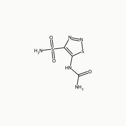 NC(=O)Nc1snnc1S(N)(=O)=O